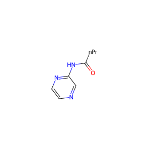 CCCC(=O)Nc1cnccn1